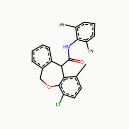 Cc1ccc(Cl)c2c1C(C(=O)Nc1c(C(C)C)cccc1C(C)C)c1ccccc1CO2